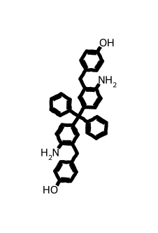 Nc1ccc(C(c2ccccc2)(c2ccccc2)c2ccc(N)c(Cc3ccc(O)cc3)c2)cc1Cc1ccc(O)cc1